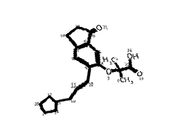 CC(C)(Oc1cc2c(cc1CCCC1CCCC1)CCC2=O)C(=O)O